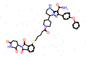 NC(=O)c1c(-c2ccc(Oc3ccccc3)cc2)nn2c1NCCC2C1CCN(C(=O)CCCCSc2cccc3c2C(=O)N(C2CCC(=O)NC2=O)C3=O)CC1